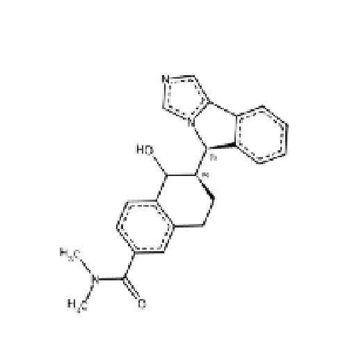 CN(C)C(=O)c1ccc2c(c1)CC[C@H]([C@@H]1c3ccccc3-c3cncn31)C2O